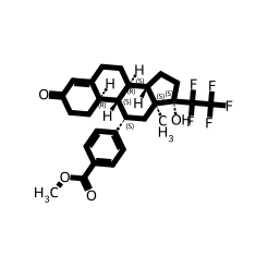 COC(=O)c1ccc([C@H]2C[C@@]3(C)[C@@H](CC[C@@]3(O)C(F)(F)C(F)(F)F)[C@@H]3CCC4=CC(=O)CC[C@@H]4[C@H]32)cc1